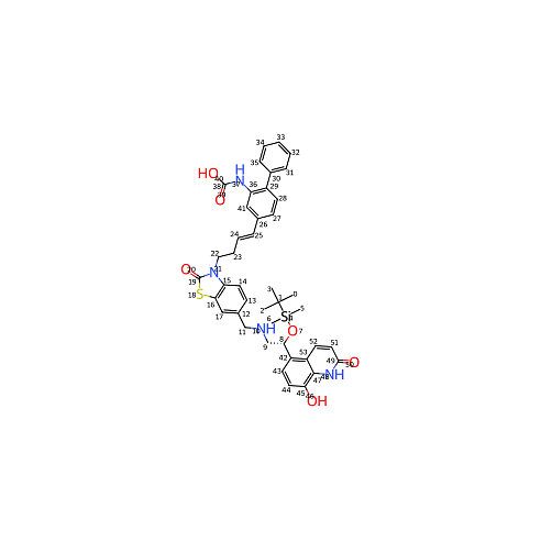 CC(C)(C)[Si](C)(C)O[C@@H](CNCc1ccc2c(c1)sc(=O)n2CCC=Cc1ccc(-c2ccccc2)c(NC(=O)O)c1)c1ccc(O)c2[nH]c(=O)ccc12